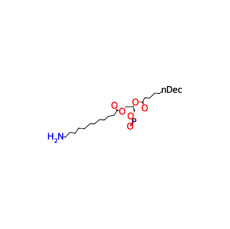 CCCCCCCCCCCCCCC(=O)O[C@@H](COP=O)COC(=O)CCCCCCCCCCCN